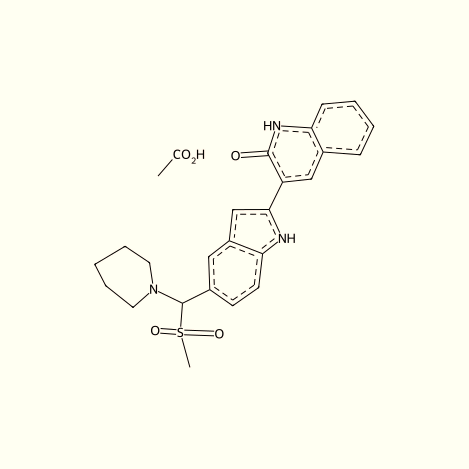 CC(=O)O.CS(=O)(=O)C(c1ccc2[nH]c(-c3cc4ccccc4[nH]c3=O)cc2c1)N1CCCCC1